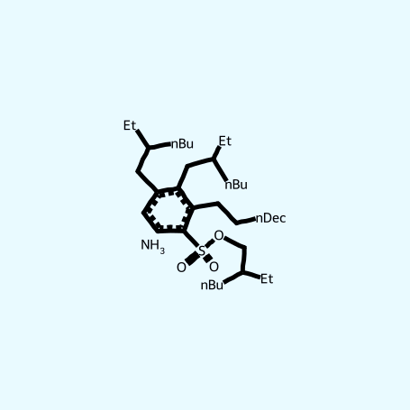 CCCCCCCCCCCCc1c(S(=O)(=O)OCC(CC)CCCC)ccc(CC(CC)CCCC)c1CC(CC)CCCC.N